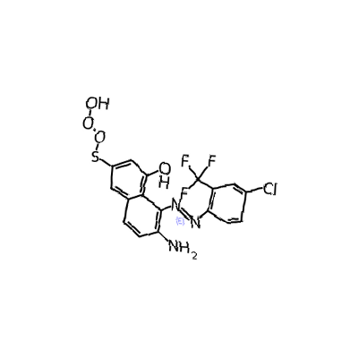 Nc1ccc2cc(SOOO)cc(O)c2c1/N=N/c1ccc(Cl)cc1C(F)(F)F